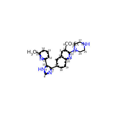 CCOC(=O)c1cc2cc(-c3nc[nH]c3-c3cccc(C)n3)ccc2nc1N1CCNCC1